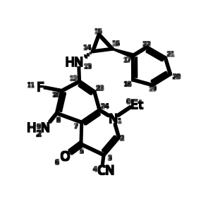 CCn1cc(C#N)c(=O)c2c(N)c(F)c(N[C@@H]3C[C@H]3c3ccccc3)cc21